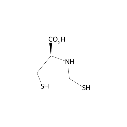 O=C(O)[C@H](CS)NCS